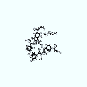 Cc1cc(C(=O)Nc2nc3cc(C(N)=O)ccc3n2C/C=C/Cn2c(NC(O)c3cc(C)on3)nc3cc(C(N)=O)cc(OCCCO)c32)no1